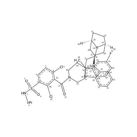 CCCNS(=O)(=O)c1ccc(Cl)c(C(=O)N2CCC(CCN3[C@@H]4CC[C@H]3C[C@@H](n3c(C)nc5ccccc53)C4)(c3cccc(F)c3)CC2)c1Cl